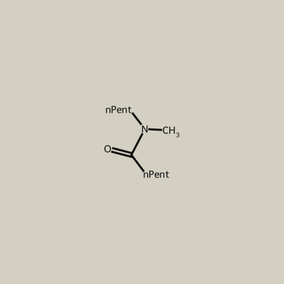 CCCCCC(=O)N(C)CCCCC